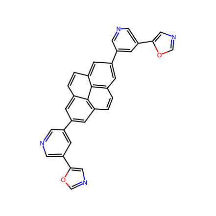 c1ncc(-c2cncc(-c3cc4ccc5cc(-c6cncc(-c7cnco7)c6)cc6ccc(c3)c4c56)c2)o1